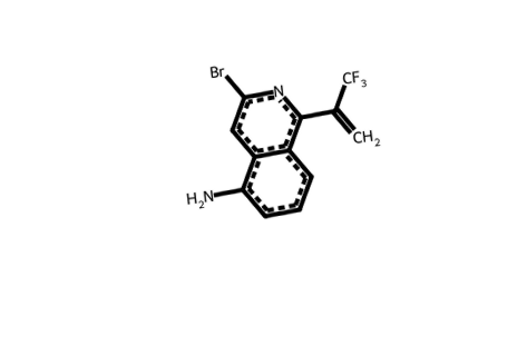 C=C(c1nc(Br)cc2c(N)cccc12)C(F)(F)F